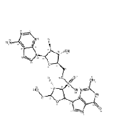 Nc1nc2c(nnn2C2OC(CO)[C@H](F)[C@H]2P(=O)(S)OC[C@H]2O[C@@H](n3ccc4c(N)ncnc43)[C@@H](F)[C@@H]2O)c(=O)[nH]1